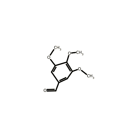 COc1cc([C]=O)cc(OC)c1OC